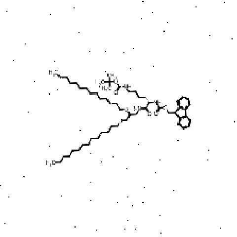 CCCCCCCCCCCCCCOCC(CNC(=O)[C@H](CCCCNC(=O)OC(C)(C)C)NC(=O)OCC1c2ccccc2-c2ccccc21)OCCCCCCCCCCCCCC